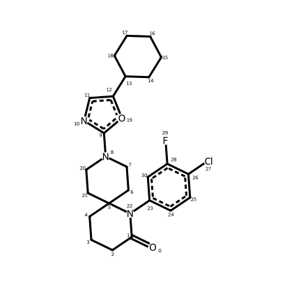 O=C1CCCC2(CCN(c3ncc(C4CCCCC4)o3)CC2)N1c1ccc(Cl)c(F)c1